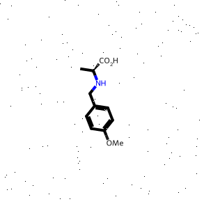 COc1ccc(CN[C@@H](C)C(=O)O)cc1